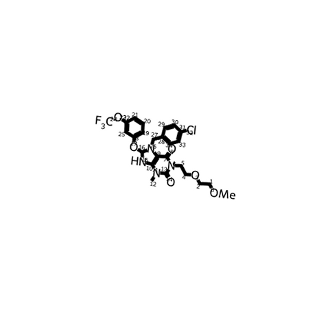 COCCOCCn1c(=O)c2c(n(C)c1=O)NC(Oc1cccc(OC(F)(F)F)c1)N2Cc1ccc(Cl)cc1